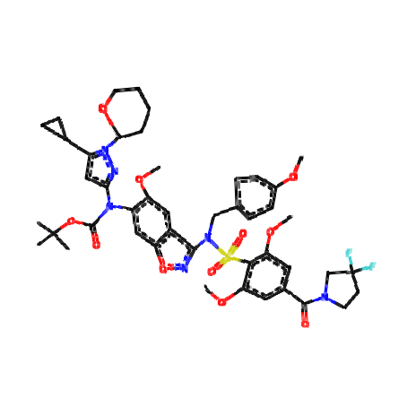 COc1ccc(CN(c2noc3cc(N(C(=O)OC(C)(C)C)c4cc(C5CC5)n(C5CCCCO5)n4)c(OC)cc23)S(=O)(=O)c2c(OC)cc(C(=O)N3CCC(F)(F)C3)cc2OC)cc1